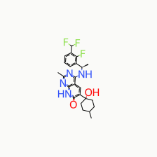 Cc1nc(N[C@H](C)c2cccc(C(F)F)c2F)c2cc(C3(O)CCC(C)CC3)c(=O)[nH]c2n1